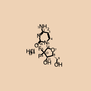 Cl.Nc1ccn([C@@H]2O[C@H](CO)[C@@H](O)C2(F)F)c(=O)n1.[H+]